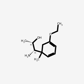 CCOC1=CC=CC(C)([C@H](N)[C@H](C)O)C1